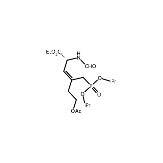 CCOC(=O)[C@@H](C=C(CCOC(C)=O)CP(=O)(OC(C)C)OC(C)C)NC=O